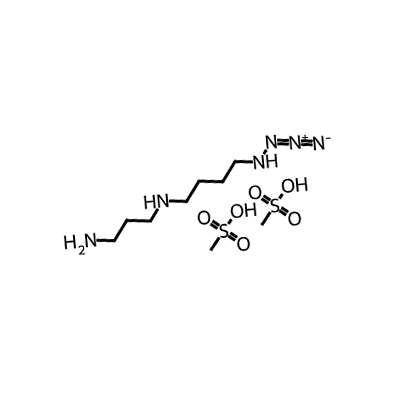 CS(=O)(=O)O.CS(=O)(=O)O.[N-]=[N+]=NNCCCCNCCCN